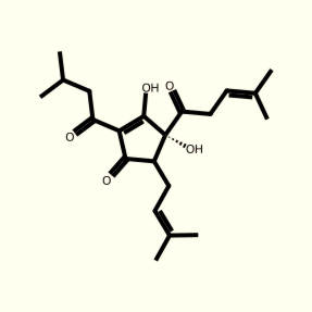 CC(C)=CCC(=O)[C@]1(O)C(O)=C(C(=O)CC(C)C)C(=O)C1CC=C(C)C